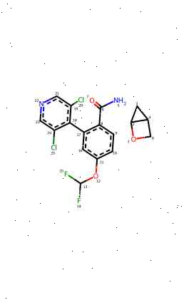 C1OC2CC12.NC(=O)c1ccc(OC(F)F)cc1-c1c(Cl)cncc1Cl